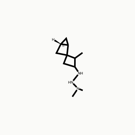 CC1C(NNN(C)C)CC12C[C@@H]1CC12